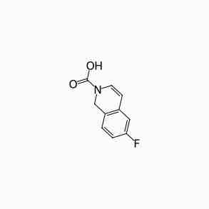 O=C(O)N1C=Cc2cc(F)ccc2C1